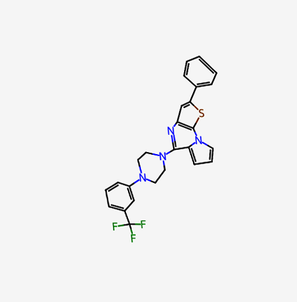 FC(F)(F)c1cccc(N2CCN(c3nc4cc(-c5ccccc5)sc4n4cccc34)CC2)c1